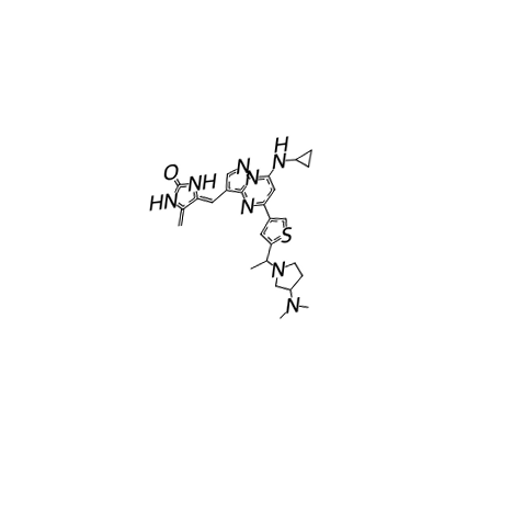 C=c1[nH]c(=O)[nH]/c1=C\c1cnn2c(NC3CC3)cc(-c3csc(C(C)N4CCC(N(C)C)C4)c3)nc12